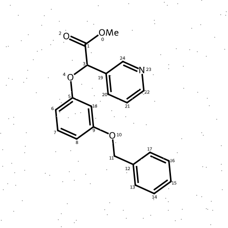 COC(=O)C(Oc1cccc(OCc2ccccc2)c1)c1cccnc1